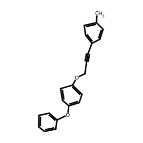 Cc1ccc(C#CCOc2ccc(Oc3ccccc3)cc2)cc1